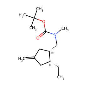 C=C1C[C@@H](CC)[C@@H](CN(C)C(=O)OC(C)(C)C)C1